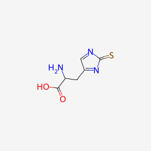 NC(CC1=NC(=S)N=C1)C(=O)O